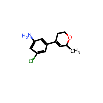 CC1C=C(c2cc(N)cc(Cl)c2)CCO1